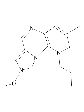 CCCN1CC(C)=CC2=C1N1CN(OC)C=C1C=N2